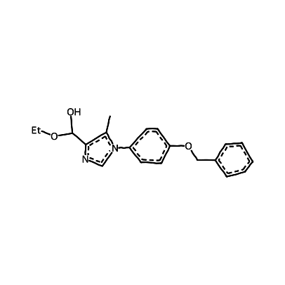 CCOC(O)c1ncn(-c2ccc(OCc3ccccc3)cc2)c1C